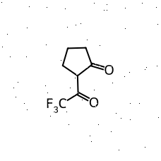 O=C1CCCC1C(=O)C(F)(F)F